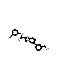 O=C(Nc1cccc(Cl)c1)c1cn2cc(-c3cccc(CO)c3)ccc2n1